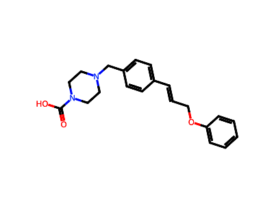 O=C(O)N1CCN(Cc2ccc(C=CCOc3ccccc3)cc2)CC1